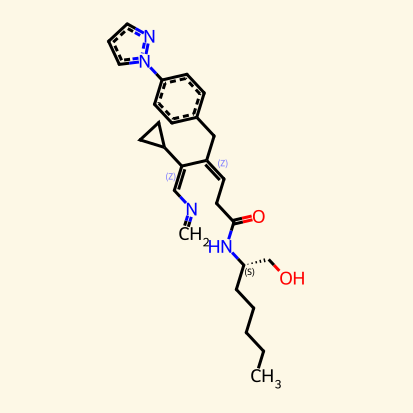 C=N/C=C(\C(=C/CC(=O)N[C@H](CO)CCCCC)Cc1ccc(-n2cccn2)cc1)C1CC1